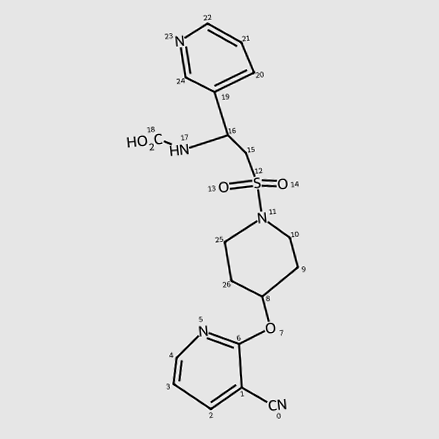 N#Cc1cccnc1OC1CCN(S(=O)(=O)CC(NC(=O)O)c2cccnc2)CC1